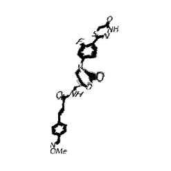 CON=Cc1ccc(C=CC(=O)NC[C@H]2CN(c3ccc(C4=NNC(=O)CS4)c(F)c3)C(=O)O2)cc1